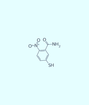 NC(=O)c1cc(S)ccc1[N+](=O)[O-]